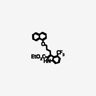 CCOC(=O)c1[nH]c2cccc(C(F)(F)F)c2c1CCCOc1cccc2ccccc12